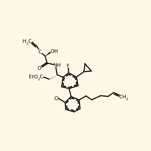 C=CCCCCc1cccc(Cl)c1-c1cc(C2CC2)c(F)c([C@H](CC(=O)OCC)NC(=O)[C@H](O)CC=C)c1